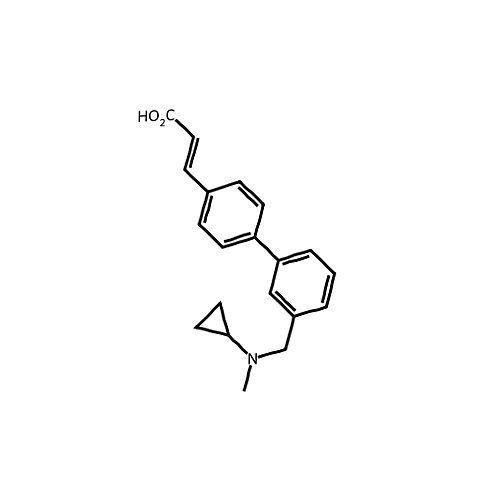 CN(Cc1cccc(-c2ccc(/C=C/C(=O)O)cc2)c1)C1CC1